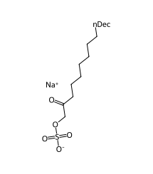 CCCCCCCCCCCCCCCCCC(=O)COS(=O)(=O)[O-].[Na+]